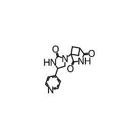 O=C1NC(=O)C2(N3CC(c4ccncc4)NC3=O)CC1C2